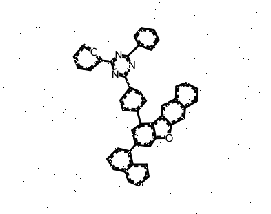 c1ccc(-c2nc(-c3ccccc3)nc(-c3ccc(-c4cc(-c5cccc6ccccc56)cc5oc6cc7ccccc7cc6c45)cc3)n2)cc1